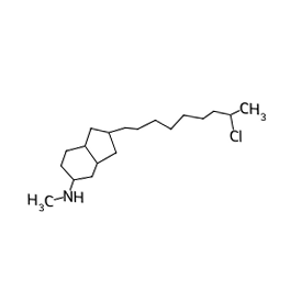 CNC1CCC2CC(CCCCCCCC(C)Cl)CC2C1